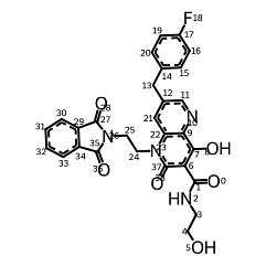 O=C(NCCO)c1c(O)c2ncc(Cc3ccc(F)cc3)cc2n(CCN2C(=O)c3ccccc3C2=O)c1=O